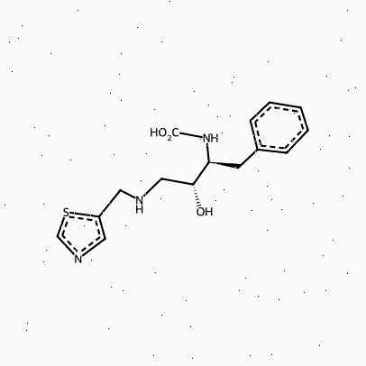 O=C(O)N[C@@H](Cc1ccccc1)[C@H](O)CNCc1cncs1